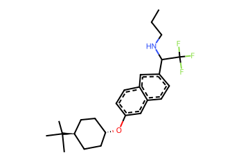 CCCNC(c1ccc2cc(O[C@H]3CC[C@H](C(C)(C)C)CC3)ccc2c1)C(F)(F)F